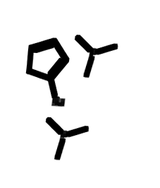 CP(C)C.CP(C)C.[Ru][C]1=CC=CC1